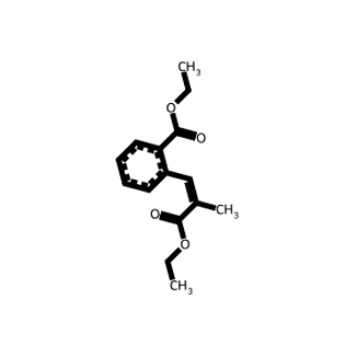 CCOC(=O)C(C)=Cc1ccccc1C(=O)OCC